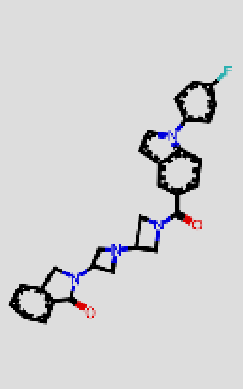 O=C(c1ccc2c(ccn2-c2ccc(F)cc2)c1)N1CC(N2CC(N3Cc4ccccc4C3=O)C2)C1